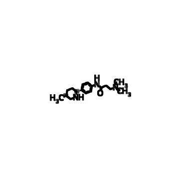 C[C@H]1CC[C@H](c2ccc(NC(=O)CCN(C)C)cc2)NC1